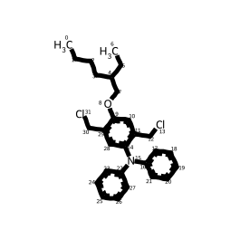 CCCCC(CC)COc1cc(CCl)c(N(c2ccccc2)c2ccccc2)cc1CCl